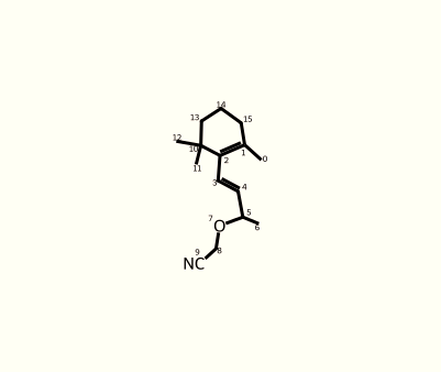 CC1=C(/C=C/C(C)OCC#N)C(C)(C)CCC1